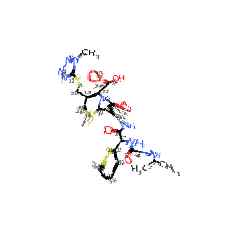 CC(C)NC(=O)NC(C(=O)N[C@H]1C(=O)N2C(C(=O)O)=C(CSc3nnnn3C)CSC12)c1cccs1